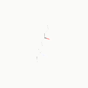 CCCC(=O)CCCC(N)CC